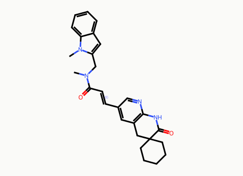 CN(Cc1cc2ccccc2n1C)C(=O)/C=C/c1cnc2c(c1)CC1(CCCCC1)C(=O)N2